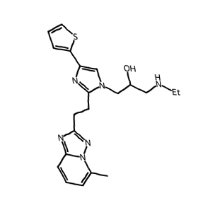 CCNCC(O)Cn1cc(-c2cccs2)nc1CCc1nc2cccc(C)n2n1